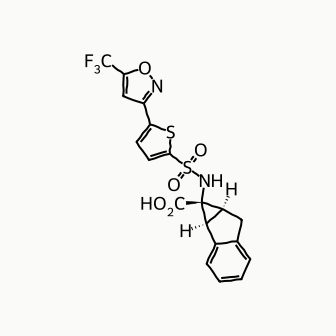 O=C(O)[C@]1(NS(=O)(=O)c2ccc(-c3cc(C(F)(F)F)on3)s2)[C@@H]2c3ccccc3C[C@@H]21